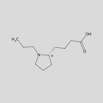 CCCN1CCC[C@H]1CCCC(=O)O